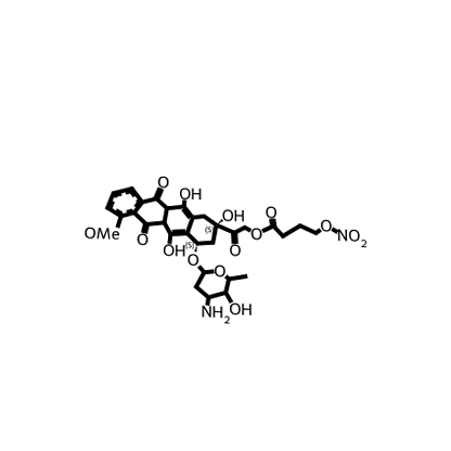 COc1cccc2c1C(=O)C1C(O)=C3C(=C(O)C1C2=O)C[C@@](O)(C(=O)COC(=O)CCCO[N+](=O)[O-])C[C@@H]3OC1CC(N)C(O)C(C)O1